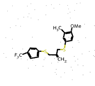 C=C(CSc1ccc(C(F)(F)F)cc1)CSc1ccc(OC)c(C)c1